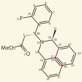 COC(=O)C[C@H](c1ccccc1F)N(Cc1ccccc1)[C@@H](C)c1ccccc1